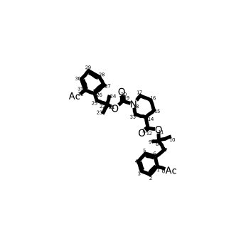 CC(=O)c1ccccc1CC(C)(C)OC(=O)C1CCCN(C(=O)OC(C)(C)Cc2ccccc2C(C)=O)C1